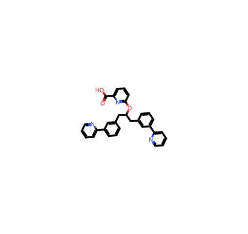 O=C(O)c1cccc(OC(Cc2cccc(-c3ccccn3)c2)Cc2cccc(-c3ccccn3)c2)n1